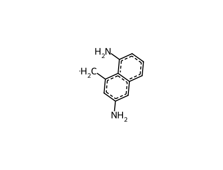 [CH2]c1cc(N)cc2cccc(N)c12